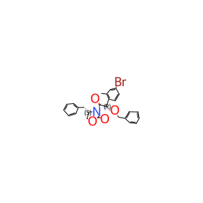 Cc1cc(Br)ccc1[C@H](COCc1ccccc1)C(=O)N1C(=O)OC[C@@H]1Cc1ccccc1